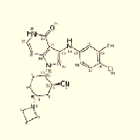 N#C[C@H]1C[C@H](N2CCC2)CC[C@@H]1n1nc(Nc2ccc(Cl)c(F)c2)c2c(=O)[nH]ccc21